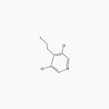 Clc1cncc(Cl)c1CCI